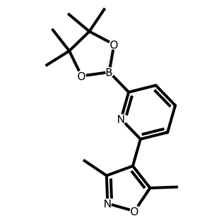 Cc1noc(C)c1-c1cccc(B2OC(C)(C)C(C)(C)O2)n1